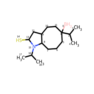 BC1(C(C)C)CCCC2C(CC1)CC(S)N2C(C)C